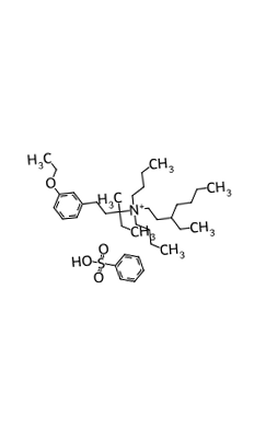 CCCCC(CC)CC[N+](CCCC)(CCCC)C(C)(CC)CCc1cccc(OCC)c1.O=S(=O)(O)c1ccccc1